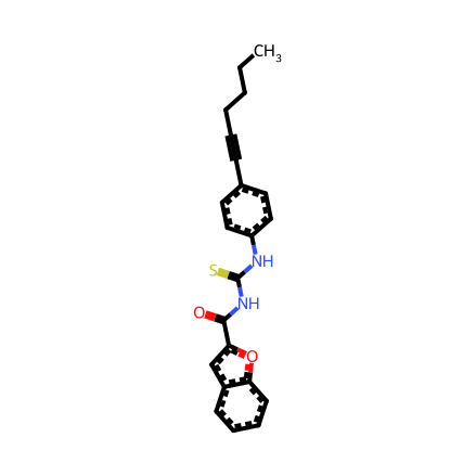 CCCCC#Cc1ccc(NC(=S)NC(=O)c2cc3ccccc3o2)cc1